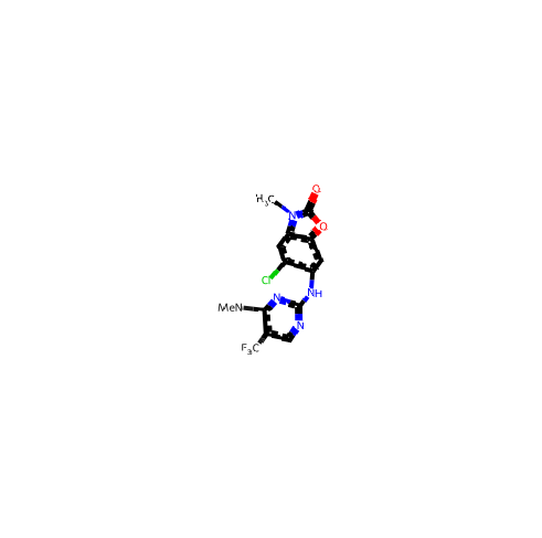 CNc1nc(Nc2cc3oc(=O)n(C)c3cc2Cl)ncc1C(F)(F)F